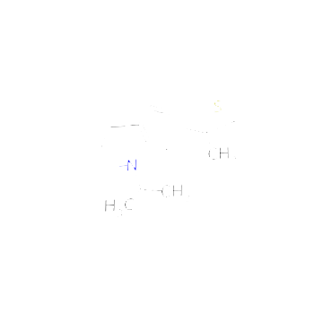 CC(C)N1CCCc2ccc(C3(C)CS3)cc21